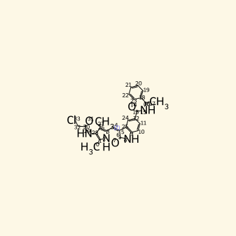 Cc1[nH]c(/C=C2\C(=O)Nc3ccc(C(=O)N[C@H](C)c4ccccc4)cc32)c(C)c1NC(=O)CCl